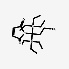 CC[Si](CC)(CC)C(CCN)(N1C(=O)C=CC1=O)[Si](CC)(CC)CC